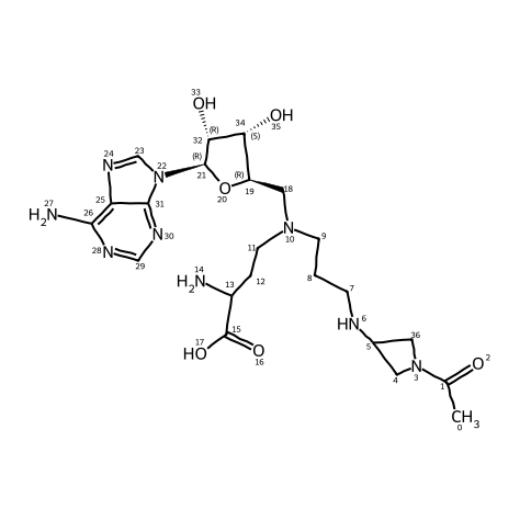 CC(=O)N1CC(NCCCN(CCC(N)C(=O)O)C[C@H]2O[C@@H](n3cnc4c(N)ncnc43)[C@H](O)[C@@H]2O)C1